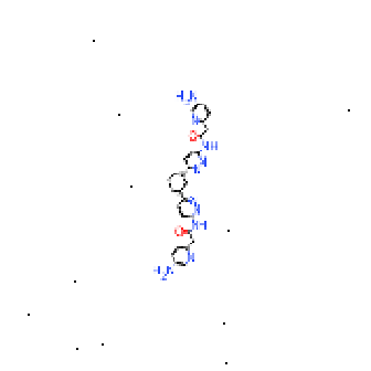 Nc1ccc(CC(=O)Nc2ccc([C@H]3CCC[C@H](c4ccc(NC(=O)Cc5ccc(N)cn5)nn4)C3)nn2)nc1